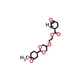 CC12CCC(C(=O)OCCOC3COC(C4CCC5(C)OC5C4)OC3)CC1O2